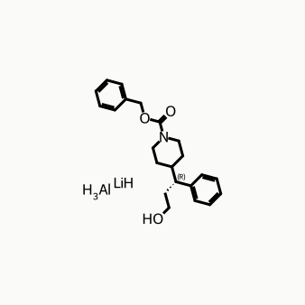 O=C(OCc1ccccc1)N1CCC([C@@H](CCO)c2ccccc2)CC1.[AlH3].[LiH]